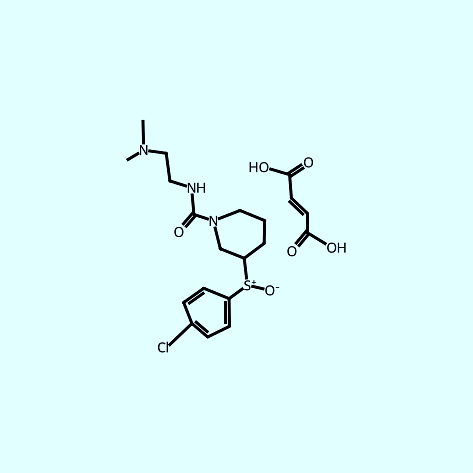 CN(C)CCNC(=O)N1CCCC([S+]([O-])c2ccc(Cl)cc2)C1.O=C(O)C=CC(=O)O